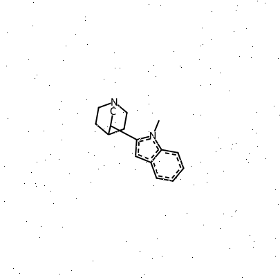 Cn1c(C2CN3CCC2CC3)cc2ccccc21